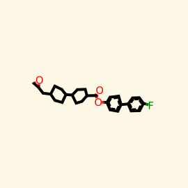 O=C(Oc1ccc(-c2ccc(F)cc2)cc1)C1CCC(C2CCC(CC3CO3)CC2)CC1